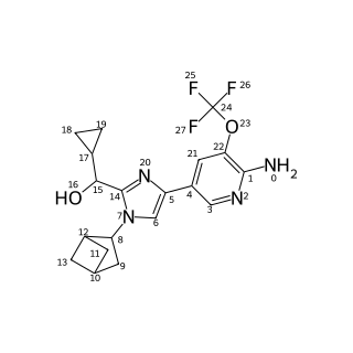 Nc1ncc(-c2cn(C3CC4CC3C4)c(C(O)C3CC3)n2)cc1OC(F)(F)F